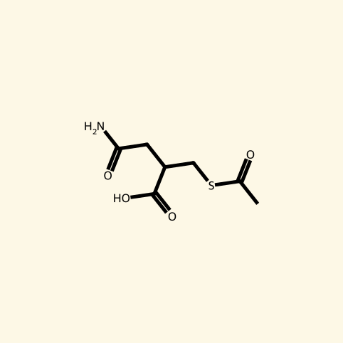 CC(=O)SCC(CC(N)=O)C(=O)O